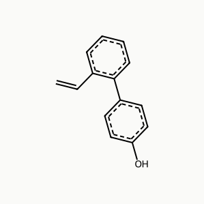 C=Cc1ccccc1-c1ccc(O)cc1